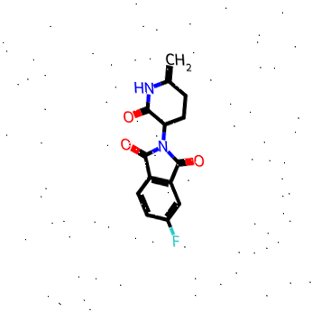 C=C1CCC(N2C(=O)c3ccc(F)cc3C2=O)C(=O)N1